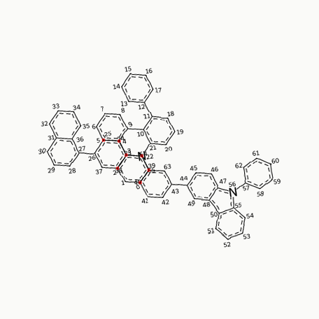 c1ccc(-c2ccccc2-c2c(-c3ccccc3)cccc2N(c2ccc(-c3cccc4ccccc34)cc2)c2cccc(-c3ccc4c(c3)c3ccccc3n4-c3ccccc3)c2)cc1